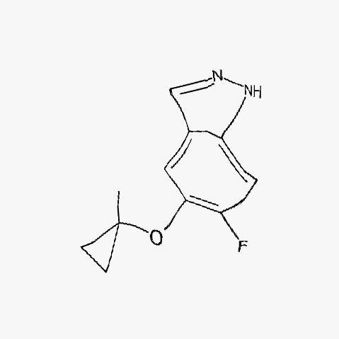 CC1(Oc2cc3cn[nH]c3cc2F)CC1